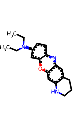 CC[N+](CC)=c1ccc2nc3cc4c(cc3oc-2c1)NCCC4